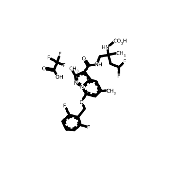 Cc1cc(OCc2c(F)cccc2F)n2nc(C)c(C(=O)NCC(C)(CC(F)F)NC(=O)O)c2c1.O=C(O)C(F)(F)F